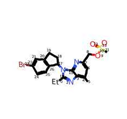 CCc1nc2c(C)cc(COS(C)(=O)=O)nc2n1C1CCc2cc(Br)ccc21